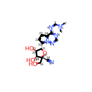 CN(C)/C=N\c1ncnn2c([C@@H]3O[C@](C#N)(CO)[C@@H](O)[C@H]3O)ccc12